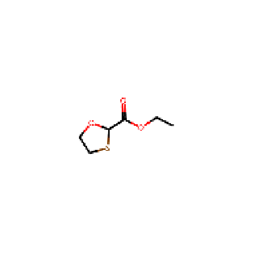 CCOC(=O)C1OCCS1